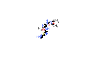 Cc1ncc(NC(=O)CN2C[C@H](C)O[C@@H](C)C2)cc1NC(=O)c1cnn2cc(-c3cc[nH]n3)sc12